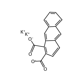 O=C([O-])c1ccc2cc3ccccc3cc2c1C(=O)[O-].[K+].[K+]